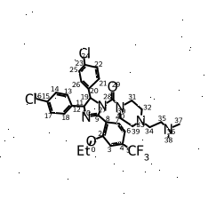 CCOc1cc(C(F)(F)F)ccc1C1=NC(c2ccc(Cl)cc2)C(c2ccc(Cl)cc2)N1C(=O)N1CCN(CCN(C)C)CC1